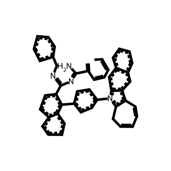 C=C(/C=C\C=C/C)/C(N)=N/C(=N\Cc1ccccc1)c1ccc2ccccc2c1-c1ccc(-n2c3c(c4cc5ccccc5cc42)C=CC=CC3)cc1